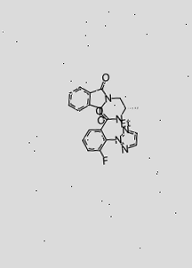 CCN(C(=O)c1cccc(F)c1-n1nccn1)[C@@H](C)CN1C(=O)c2ccccc2C1=O